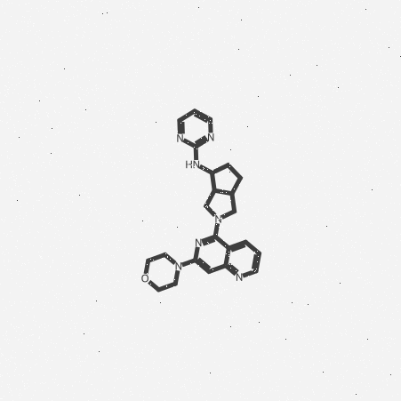 c1cnc(NC2CCC3CN(c4nc(N5CCOCC5)cc5ncccc45)CC32)nc1